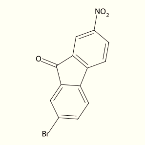 O=C1c2cc(Br)ccc2-c2ccc([N+](=O)[O-])cc21